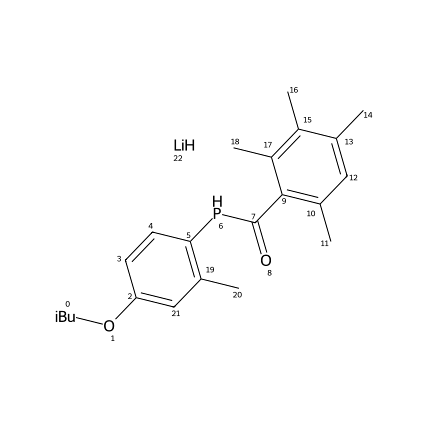 CCC(C)Oc1ccc(PC(=O)c2c(C)cc(C)c(C)c2C)c(C)c1.[LiH]